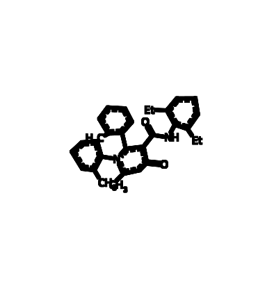 CCc1cccc(CC)c1NC(=O)c1c(-c2ccccc2C)n(-c2ccccc2C)c(C)cc1=O